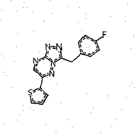 Fc1ccc(Cc2nnc3ncc(-c4cccs4)nn23)cc1